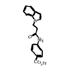 CCOC(=O)c1ccc(NC(=O)CCn2ccc3ccccc32)cc1